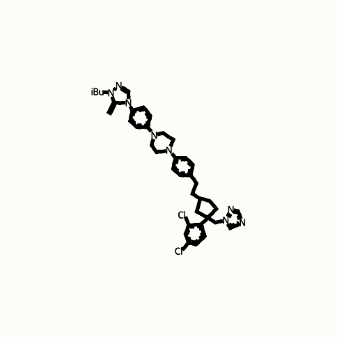 C=C1N(c2ccc(N3CCN(c4ccc(CCC5CCC(Cn6cncn6)(c6ccc(Cl)cc6Cl)C5)cc4)CC3)cc2)C=NN1C(C)CC